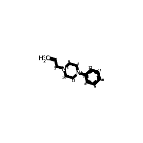 C=C[CH]N1CCN(c2ccccc2)CC1